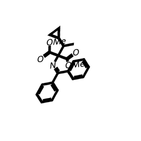 COC(=O)C(N=C(c1ccccc1)c1ccccc1)(C(=O)OC)C(C)C1CC1